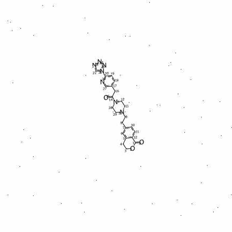 O=C1OCCc2cc(CCN3CCN(C(=O)Cc4ccc(-n5cnnn5)nc4)CC3)ccc21